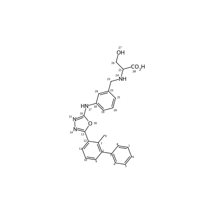 Cc1c(-c2ccccc2)cccc1-c1nnc(Nc2cccc(CNC(CO)C(=O)O)c2)o1